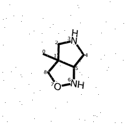 CC12CNCC1NOC2